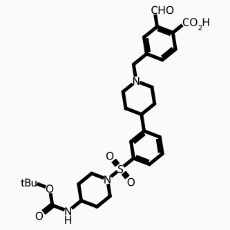 CC(C)(C)OC(=O)NC1CCN(S(=O)(=O)c2cccc(C3CCN(Cc4ccc(C(=O)O)c(C=O)c4)CC3)c2)CC1